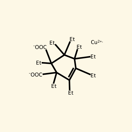 CCC1=C(CC)C(CC)(C(=O)[O-])C(CC)(C(=O)[O-])C(CC)(CC)C1(CC)CC.[Cu+2]